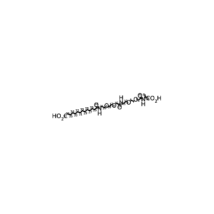 C[C@H](NC(=O)COCCOCCNC(=O)COCCOCCNC(=O)CCCCCCCCCCCCC(=O)O)C(=O)O